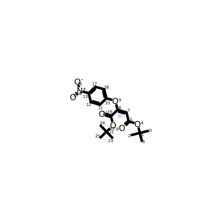 CC(C)(C)OC(=O)/C=C(/Oc1ccc([N+](=O)[O-])cc1)C(=O)OC(C)(C)C